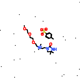 COCCOCCOCC[N+](C)(C)CCN1CC(C)(C)NC1=O.Cc1ccc(S(=O)(=O)[O-])cc1